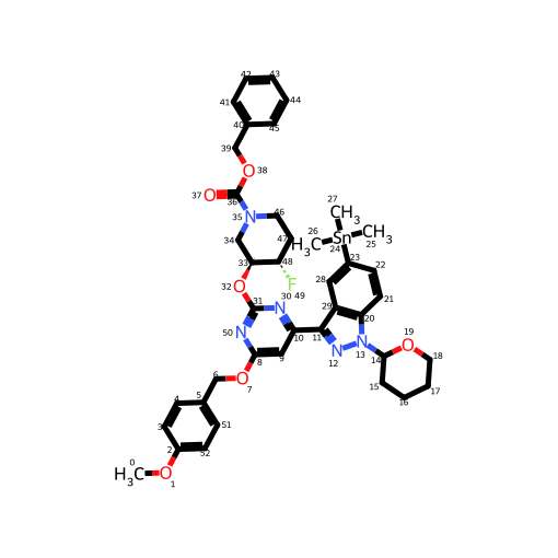 COc1ccc(COc2cc(-c3nn(C4CCCCO4)c4cc[c]([Sn]([CH3])([CH3])[CH3])cc34)nc(O[C@H]3CN(C(=O)OCc4ccccc4)CC[C@@H]3F)n2)cc1